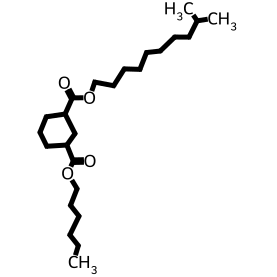 CCCCCCOC(=O)C1CCCC(C(=O)OCCCCCCCCC(C)C)C1